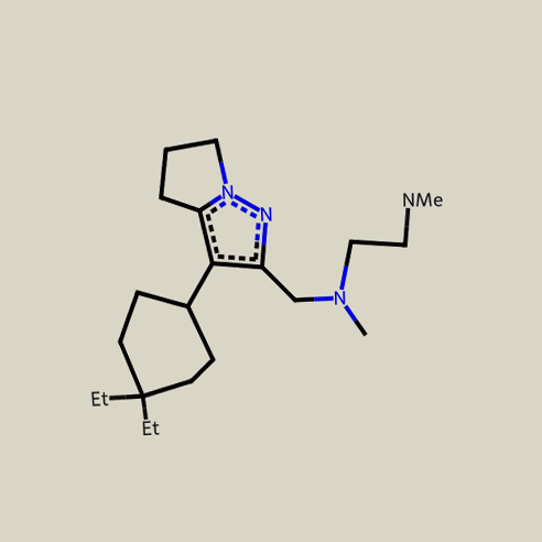 CCC1(CC)CCC(c2c(CN(C)CCNC)nn3c2CCC3)CC1